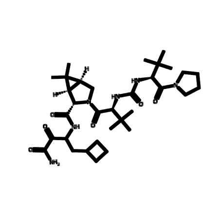 CC(C)(C)[C@H](NC(=O)N[C@H](C(=O)N1C[C@H]2[C@@H]([C@H]1C(=O)NC(CC1CCC1)C(=O)C(N)=O)C2(C)C)C(C)(C)C)C(=O)N1CCCC1